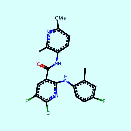 COc1ccc(NC(=O)c2cc(F)c(Cl)nc2Nc2ccc(F)cc2C)c(C)n1